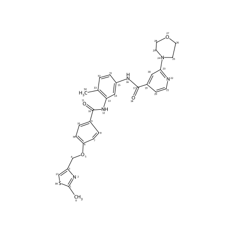 Cc1nc(COc2ccc(C(=O)Nc3cc(NC(=O)c4ccnc(N5CCOCC5)c4)ccc3C)cc2)cs1